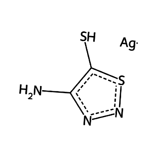 Nc1nnsc1S.[Ag]